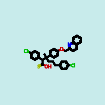 CC(CCCc1ccc(Cl)cc1)(c1ccc(OCc2ccc3ccccc3n2)cc1)C(C(O)=S)c1ccc(Cl)cc1